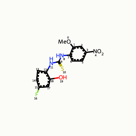 COc1cc([N+](=O)[O-])ccc1NC(=S)Nc1ccc(F)cc1O